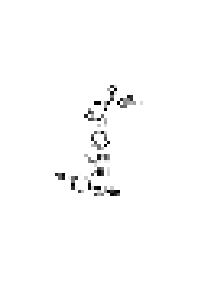 COc1ccc(C#N)cc1NC(=O)Nc1ccc([C@H]2CN(C(=O)OC(C)(C)C)CCO2)cc1F